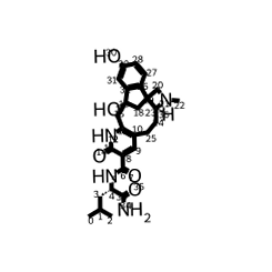 CC(C)C[C@H](NC(=O)c1cc2c([nH]c1=O)C[C@]1(O)CC3(CN(C)[C@H]3CC2)c2ccc(O)cc21)C(N)=O